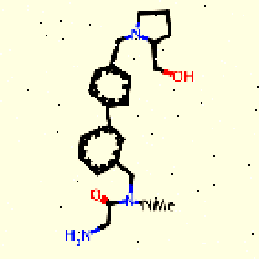 CNN(Cc1cccc(-c2ccc(CN3CCCC3CO)cc2)c1)C(=O)CN